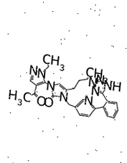 CCCCc1cn(-c2c(C(C)=O)cnn2CC)c(=O)n1Cc1ccc(-c2ccccc2-c2nnn[nH]2)nc1